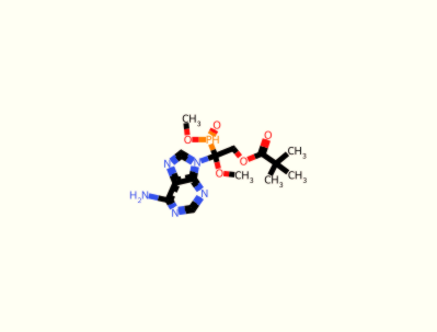 CO[PH](=O)C(COC(=O)C(C)(C)C)(OC)n1cnc2c(N)ncnc21